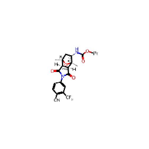 CC(C)OC(=O)N[C@H]1C[C@@]2(C)O[C@]1(C)[C@H]1C(=O)N(c3ccc(C#N)c(C(F)(F)F)c3)C(=O)[C@H]12